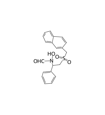 O=CN(O)C(CS(=O)(=O)Cc1ccc2ccccc2c1)c1ccccc1